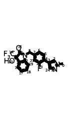 Cn1cc(-c2ccc(CN3C(=O)C(O)(C(F)(F)F)c4ccccc43)cc2F)cn1